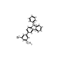 Cc1cc(Br)cc(-c2ccc3c(c2)c2ccccc2n3-c2ccccc2)c1